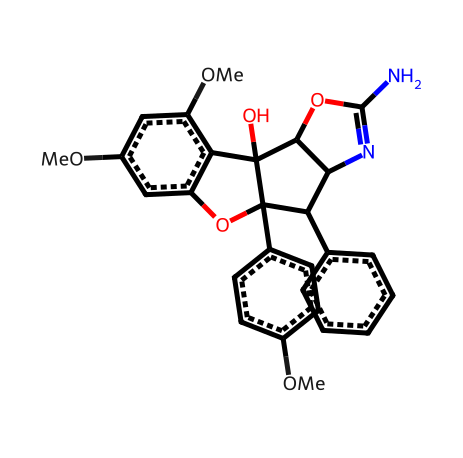 COc1ccc(C23Oc4cc(OC)cc(OC)c4C2(O)C2OC(N)=NC2C3c2ccccc2)cc1